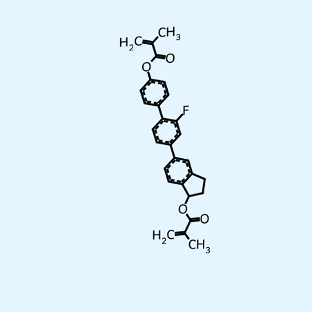 C=C(C)C(=O)Oc1ccc(-c2ccc(-c3ccc4c(c3)CCC4OC(=O)C(=C)C)cc2F)cc1